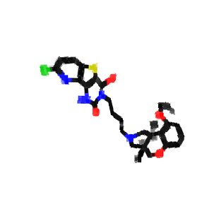 COc1cccc2c1[C@@H]1CN(CCCCn3c(=O)[nH]c4c(sc5ccc(Cl)nc54)c3=O)C[C@H]1CO2